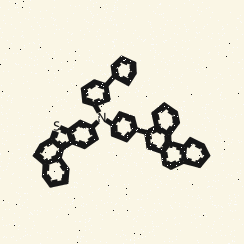 c1ccc(-c2cccc(N(c3ccc(-c4cc5ccc6ccccc6c5c5ccccc45)cc3)c3ccc4c(c3)sc3ccc5ccccc5c34)c2)cc1